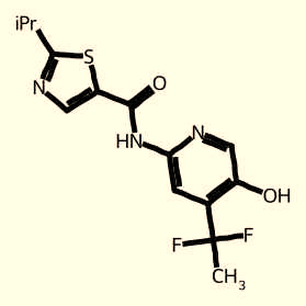 CC(C)c1ncc(C(=O)Nc2cc(C(C)(F)F)c(O)cn2)s1